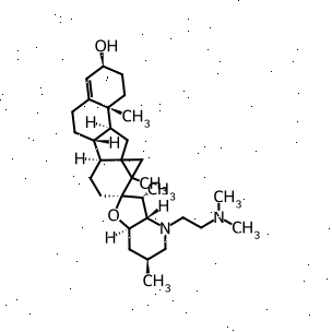 C[C@H]1C[C@H]2O[C@]3(CC[C@H]4[C@@H]5CCC6=C[C@@H](O)CC[C@]6(C)[C@H]5CC45CC53C)[C@H](C)[C@@H]2N(CCN(C)C)C1